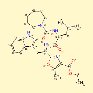 CCOC(=O)c1nc([C@@H](Cc2c[nH]c3ccccc23)NC(=O)[C@H](CC(C)C)NC(=O)N2CCCCCC2)oc1C